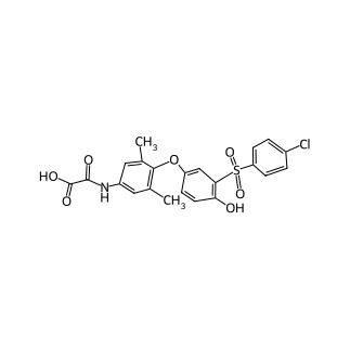 Cc1cc(NC(=O)C(=O)O)cc(C)c1Oc1ccc(O)c(S(=O)(=O)c2ccc(Cl)cc2)c1